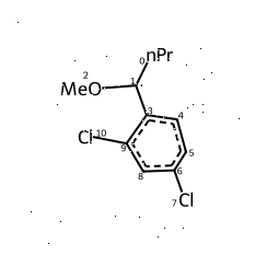 CCC[C](OC)c1ccc(Cl)cc1Cl